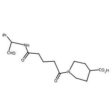 CC(C)C(C=O)NC(=O)CCCC(=O)N1CCC(C(=O)O)CC1